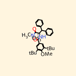 COc1c(C(C)(C)C)cc(C(=O)N[C@H](C(=O)N(C)C)C(c2ccccc2)c2ccccc2)cc1C(C)(C)C